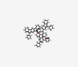 N#Cc1ccc(-n2c3ccccc3c3cc4c5ccccc5n(-c5ccccc5)c4cc32)c(-c2cc(-n3c4ccccc4c4cc5c6ccccc6n(-c6ccccc6)c5cc43)ccc2-c2nc(-c3ccccc3)nc(-c3ccccc3)n2)c1